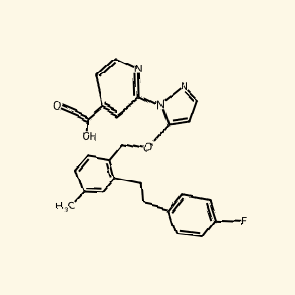 Cc1ccc(COc2ccnn2-c2cc(C(=O)O)ccn2)c(CCc2ccc(F)cc2)c1